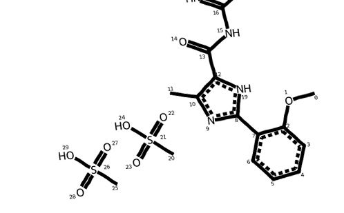 COc1ccccc1-c1nc(C)c(C(=O)NC(=N)N)[nH]1.CS(=O)(=O)O.CS(=O)(=O)O